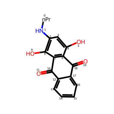 CCCNc1cc(O)c2c(c1O)C(=O)c1ccccc1C2=O